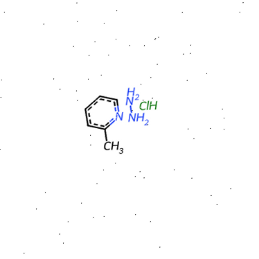 Cc1ccccn1.Cl.NN